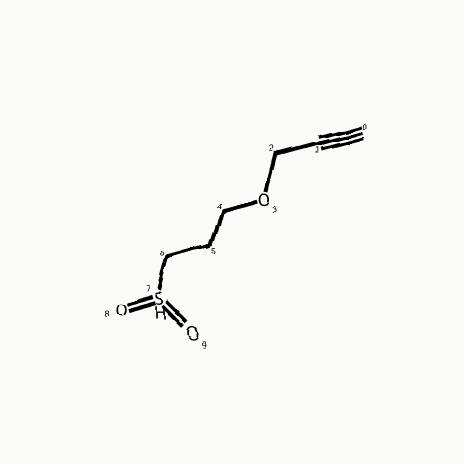 C#CCOCCC[SH](=O)=O